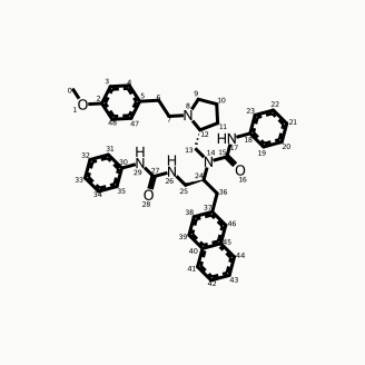 COc1ccc(CCN2CCC[C@@H]2CN(C(=O)Nc2ccccc2)[C@H](CNC(=O)Nc2ccccc2)Cc2ccc3ccccc3c2)cc1